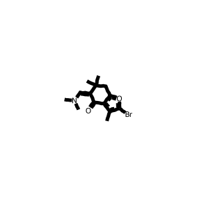 Cc1c(Br)oc2c1C(=O)C(=CN(C)C)C(C)(C)C2